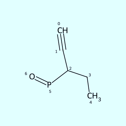 C#CC(CC)P=O